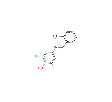 Oc1c(F)cc(NCc2ccccc2C(F)(F)F)cc1F